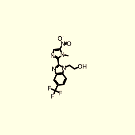 Cn1c([N+](=O)[O-])cnc1-c1nc2cc(C(F)(F)F)ccc2n1CCO